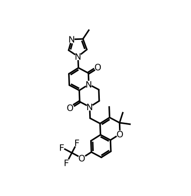 CC1=C(CN2CCn3c(ccc(-n4cnc(C)c4)c3=O)C2=O)c2cc(OC(F)(F)F)ccc2OC1(C)C